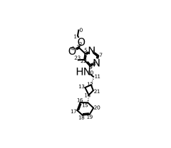 CCOC(=O)c1ncnc(NC[C@H]2C[C@@H](C3C=CC=CC3)C2)c1C